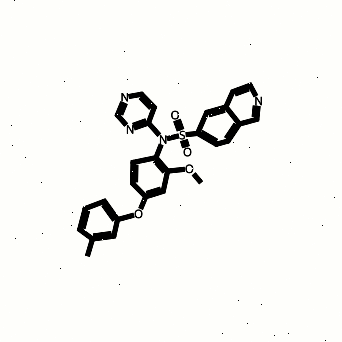 COc1cc(Oc2cccc(C)c2)ccc1N(c1ccncn1)S(=O)(=O)c1ccc2cnccc2c1